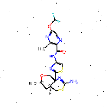 Cc1nc(OC(F)F)cnc1C(=O)Nc1csc(C23CO[C@@H](C)C[C@H]2CSC(N)=N3)n1